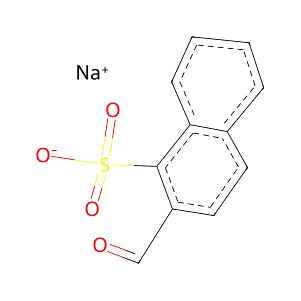 O=Cc1ccc2ccccc2c1S(=O)(=O)[O-].[Na+]